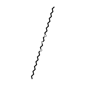 CCCCCCCCCCCCOCCSCCOCCCCCCCCCCCC